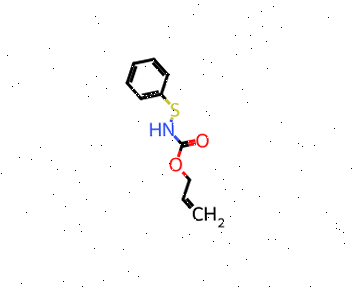 C=CCOC(=O)NSc1ccccc1